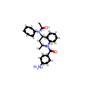 CC(=O)N(c1ccccc1)C1CC(C)N(C(=O)c2ccc(N)cc2)c2ccccc21